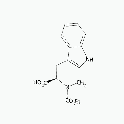 CCOC(=O)N(C)[C@H](Cc1c[nH]c2ccccc12)C(=O)O